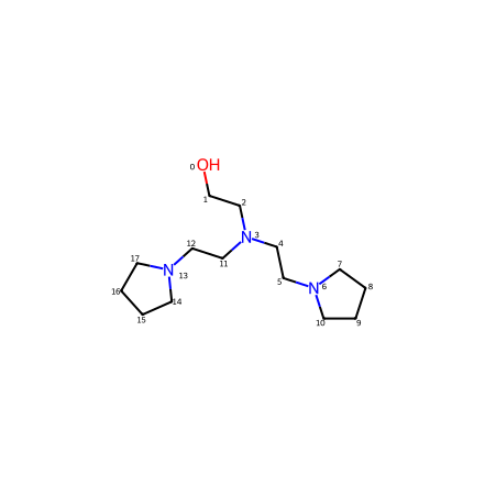 OCCN(CCN1CCCC1)CCN1CCCC1